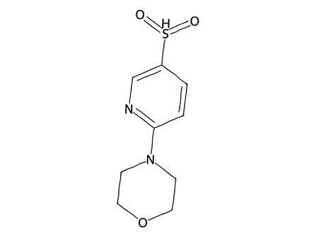 O=[SH](=O)c1ccc(N2CCOCC2)nc1